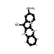 CC(=O)Nc1ccn2c(c1)c(C#N)c1nc3ccccc3nc12